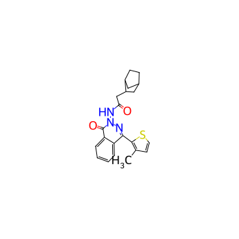 Cc1ccsc1-c1nn(NC(=O)CC2CC3CCC2C3)c(=O)c2ccccc12